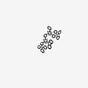 c1ccc(-c2nc(-c3cccc(-c4nc(-c5cccc([Si](c6ccccc6)(c6ccccc6)c6ccccc6)c5)nc(-n5c6ccccc6c6ccccc65)n4)c3)nc(-c3cccc([Si](c4ccccc4)(c4ccccc4)c4ccccc4)c3)n2)cc1